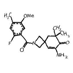 COc1cc(C(=O)N2CC3(C=C(N)C(=O)C(C)(C)C3)C2)c(F)cc1C